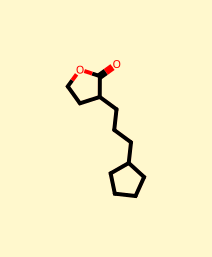 O=C1OCCC1CCCC1CCCC1